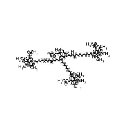 CCC(OC(=O)CCC(=O)CS(#P)=S)C(=O)N(CCCNC(=O)CCCCCCCCCO[C@@H]1OC(COC(C)=O)[C@H](OC(C)=O)[C@H](OC(C)=O)C1NC(C)=O)CCCN(CCCNC(=O)CCCCCCCCCO[C@@H]1OC(COC(C)=O)[C@H](OC(C)=O)[C@H](OC(C)=O)C1NC(C)=O)C(=O)CCCCCCCCCO[C@@H]1OC(COC(C)=O)[C@H](OC(C)=O)[C@H](OC(C)=O)C1NC(C)=O